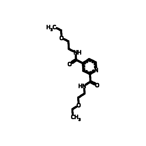 CCOCCNC(=O)c1ccnc(C(=O)NCCOCC)c1